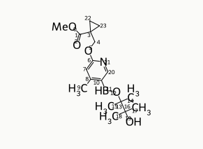 COC(=O)C1(COc2cc(C)c(BOC(C)(C)C(C)(C)O)cn2)CC1